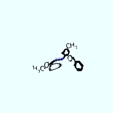 CCOC(=O)/C=C/c1ccc(C)cc1OCc1ccccc1